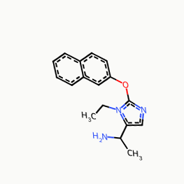 CCn1c(C(C)N)cnc1Oc1ccc2ccccc2c1